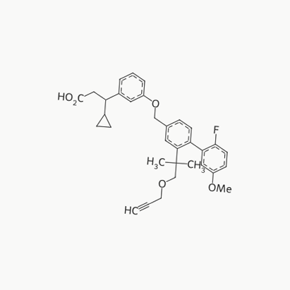 C#CCOCC(C)(C)c1cc(COc2cccc(C(CC(=O)O)C3CC3)c2)ccc1-c1cc(OC)ccc1F